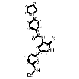 CCNc1cncc(-c2c[nH]c(=O)c(NC(=O)c3ccc(N4CCCC4)cc3)c2)n1